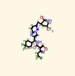 O=C(NC(c1cn2nc(CC3C[C@@H](C(F)(F)F)CNC3=O)ccc2n1)C1CCC(F)(F)CC1)c1conc1CC(F)F